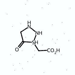 O=C(O)C[SH]1NNCC1=O